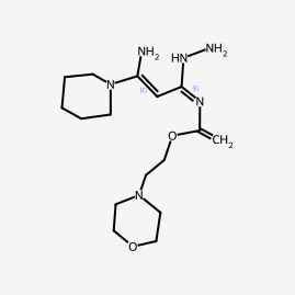 C=C(/N=C(\C=C(/N)N1CCCCC1)NN)OCCN1CCOCC1